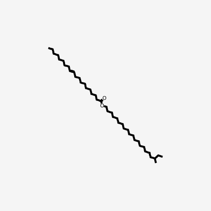 CCCCCCCCC=CCCCCCCCCCC(=O)OCCCCCCCCCCCCCCCCCCC(C)CC